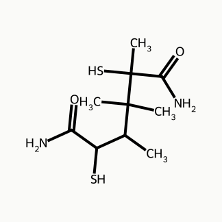 CC(C(S)C(N)=O)C(C)(C)C(C)(S)C(N)=O